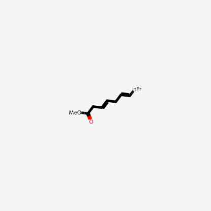 CCCC=CCC=CCC(=O)OC